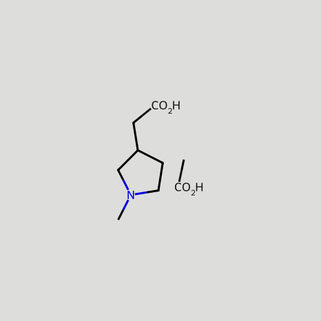 CC(=O)O.CN1CCC(CC(=O)O)C1